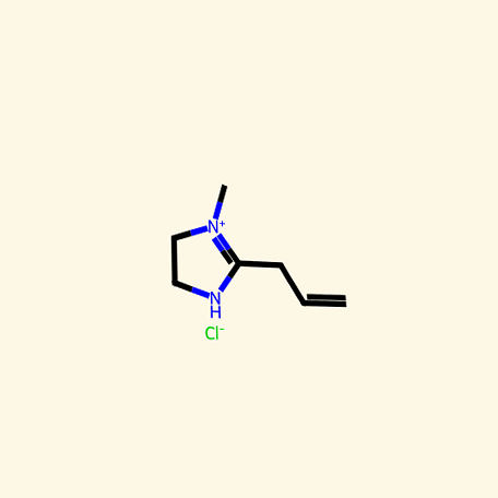 C=CCC1=[N+](C)CCN1.[Cl-]